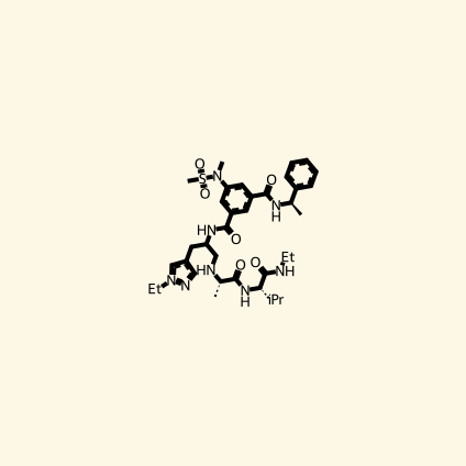 CCNC(=O)[C@@H](NC(=O)[C@H](C)NCC(Cc1cnn(CC)c1)NC(=O)c1cc(C(=O)N[C@H](C)c2ccccc2)cc(N(C)S(C)(=O)=O)c1)C(C)C